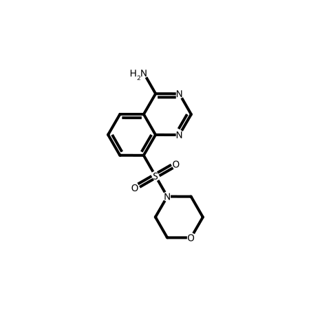 Nc1ncnc2c(S(=O)(=O)N3CCOCC3)cccc12